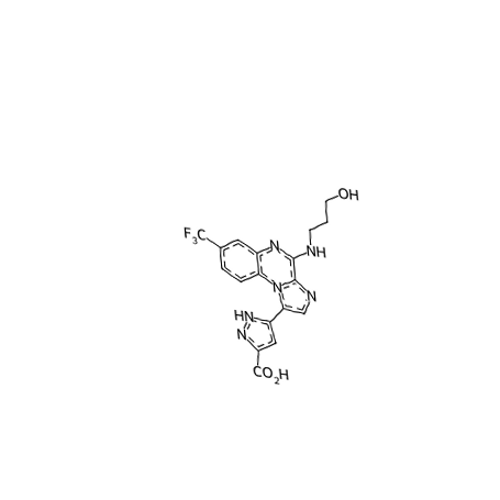 O=C(O)c1cc(-c2cnc3c(NCCCO)nc4cc(C(F)(F)F)ccc4n23)[nH]n1